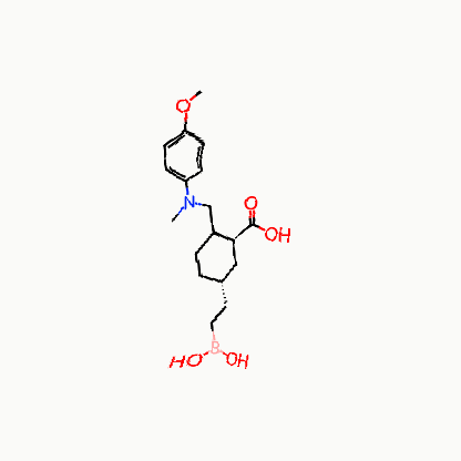 COc1ccc(N(C)CC2CC[C@@H](CCB(O)O)C[C@@H]2C(=O)O)cc1